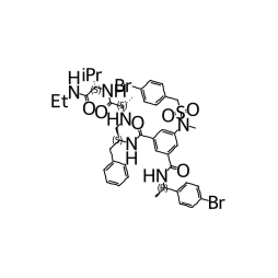 CCNC(=O)[C@@H](NC(=O)[C@H](C)NC[C@H](Cc1ccccc1)NC(=O)c1cc(C(=O)N[C@H](C)c2ccc(Br)cc2)cc(N(C)S(=O)(=O)Cc2ccc(Br)cc2)c1)C(C)C